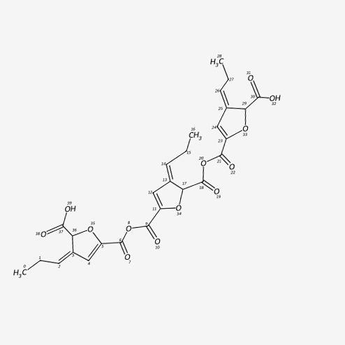 CCC=C1C=C(C(=O)OC(=O)C2=CC(=CCC)C(C(=O)OC(=O)C3=CC(=CCC)C(C(=O)O)O3)O2)OC1C(=O)O